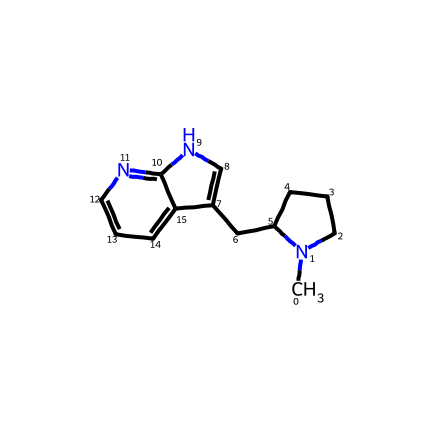 CN1CCCC1Cc1c[nH]c2ncccc12